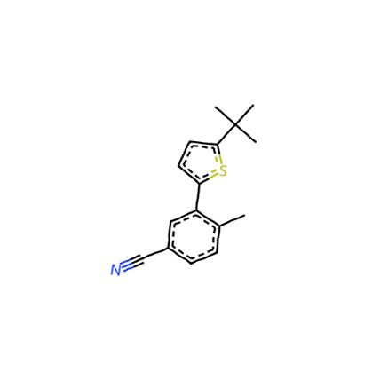 Cc1ccc(C#N)cc1-c1ccc(C(C)(C)C)s1